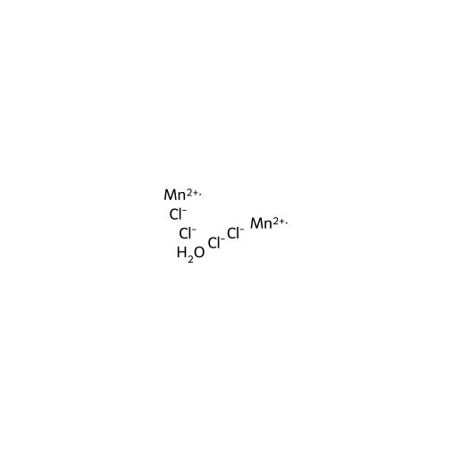 O.[Cl-].[Cl-].[Cl-].[Cl-].[Mn+2].[Mn+2]